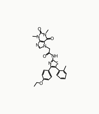 CCOc1ccc(-c2nc(NC(=O)Cn3cnc4c3c(=O)n(C)c(=O)n4C)sc2-c2ccccc2C)cc1